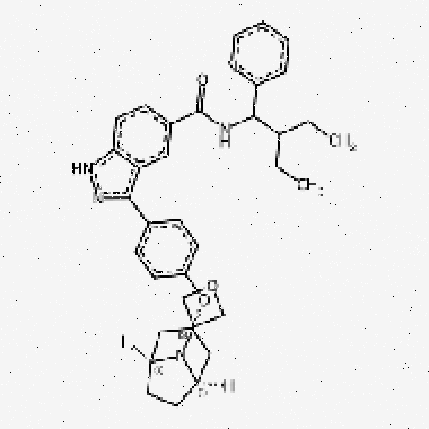 CCC(CC)C(NC(=O)c1ccc2[nH]nc(-c3ccc(O[C@@H]4C[C@H]5CC[C@@H](C4)N5C4COC4)cc3)c2c1)c1ccccn1